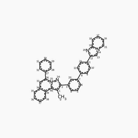 Cc1c(-c2cccc(-c3ccc(-c4cn5ccccc5n4)cc3)c2)nn2c(-c3ccccc3)cc3ccccc3c12